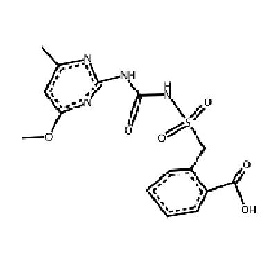 COc1cc(C)nc(NC(=O)NS(=O)(=O)Cc2ccccc2C(=O)O)n1